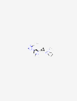 Cc1cc(-n2nc(C)nc2C)cc([C@H]2C[C@@H]2c2nc3ccccc3n2C)n1